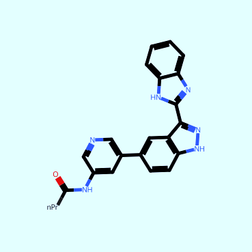 CCCC(=O)Nc1cncc(-c2ccc3[nH]nc(-c4nc5ccccc5[nH]4)c3c2)c1